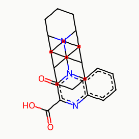 O=C(O)c1nc2ccccc2n(C2CC3CCCC(C2)N3C2C3CCCC2CCC3)c1=O